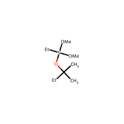 CCC(C)(C)O[Si](CC)(OC)OC